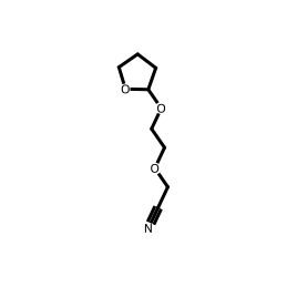 N#CCOCCOC1CCCO1